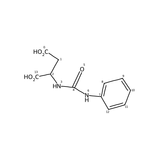 O=C(O)CC(NC(=O)Nc1ccccc1)C(=O)O